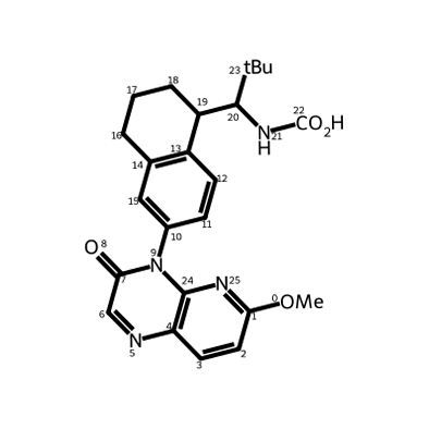 COc1ccc2ncc(=O)n(-c3ccc4c(c3)CCCC4C(NC(=O)O)C(C)(C)C)c2n1